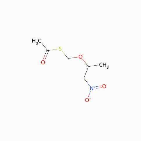 CC(=O)SCOC(C)C[N+](=O)[O-]